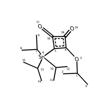 CC(C)Oc1[c]([Sn]([CH](C)C)([CH](C)C)[CH](C)C)c(=O)c1=O